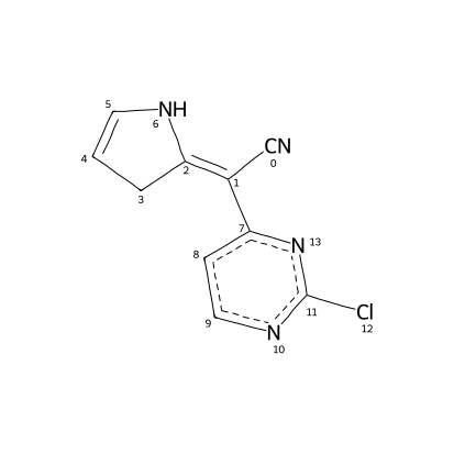 N#C/C(=C1/CC=CN1)c1ccnc(Cl)n1